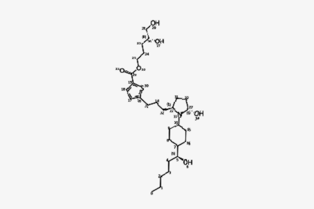 CCCCC[C@H](O)C1CCC(N2[C@@H](CCCc3ccc(C(=O)OCCC[C@@H](O)CO)s3)CC[C@@H]2O)CC1